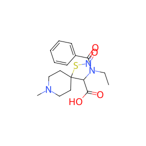 CCN(C(=O)c1ccccc1)C(C(=O)O)C1(SN=O)CCN(C)CC1